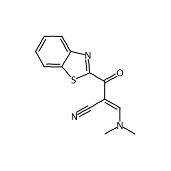 CN(C)/C=C(\C#N)C(=O)c1nc2ccccc2s1